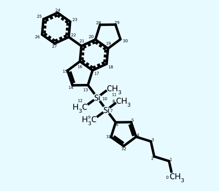 CCCCC1=CC([Si](C)(C)[Si](C)(C)C2C=Cc3c2cc2c(c3-c3ccccc3)CCC2)C=C1